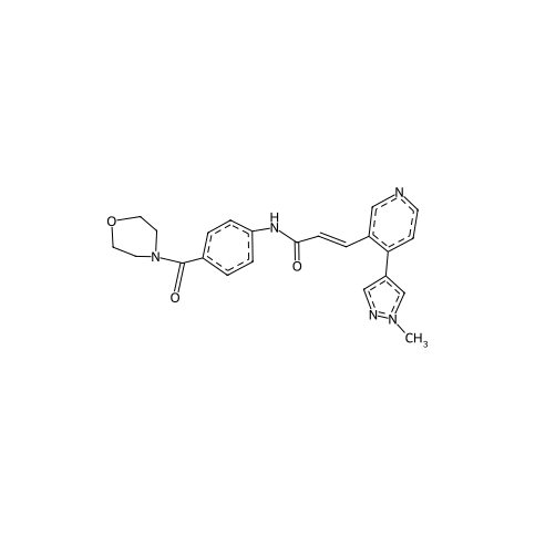 Cn1cc(-c2ccncc2C=CC(=O)Nc2ccc(C(=O)N3CCOCC3)cc2)cn1